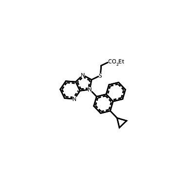 CCOC(=O)CSc1nc2cccnc2n1-c1ccc(C2CC2)c2ccccc12